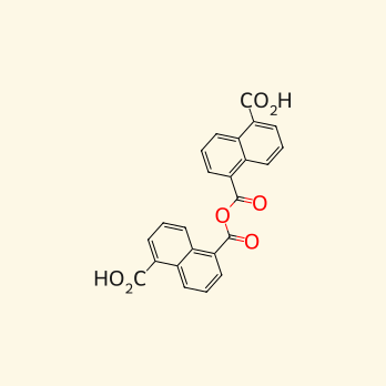 O=C(O)c1cccc2c(C(=O)OC(=O)c3cccc4c(C(=O)O)cccc34)cccc12